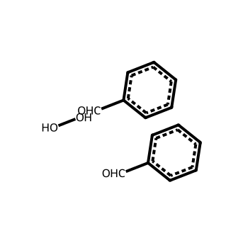 O=Cc1ccccc1.O=Cc1ccccc1.OO